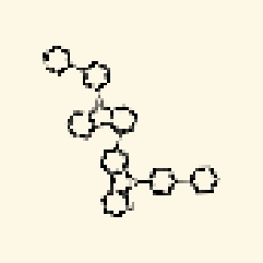 c1ccc(-c2ccc(-n3c4cc(-c5cccc6c5c5ccccc5n6-c5cccc(-c6ccccc6)c5)ccc4c4cccnc43)cc2)cc1